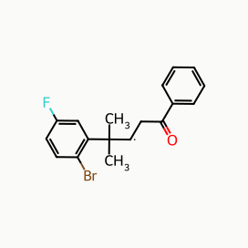 CC(C)([CH]CC(=O)c1ccccc1)c1cc(F)ccc1Br